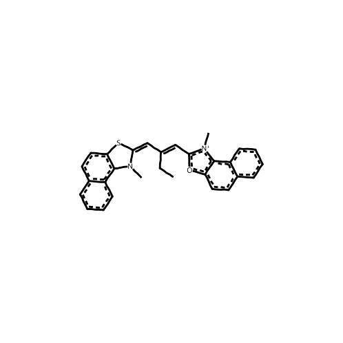 CC/C(C=C1Sc2ccc3ccccc3c2N1C)=C\c1oc2ccc3ccccc3c2[n+]1C